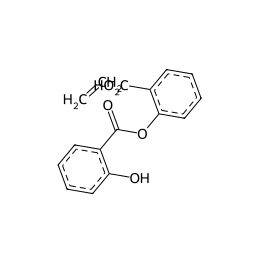 C=C.O=C(Oc1ccccc1C(=O)O)c1ccccc1O